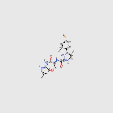 Cc1cnc2c(c1)OC/C(=N\C(=O)c1ncc(C)c(-c3ccc(P)cc3C)n1)C(=O)N2C